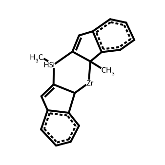 C[SiH]1C2=Cc3ccccc3[CH]2[Zr][C]2(C)C1=Cc1ccccc12